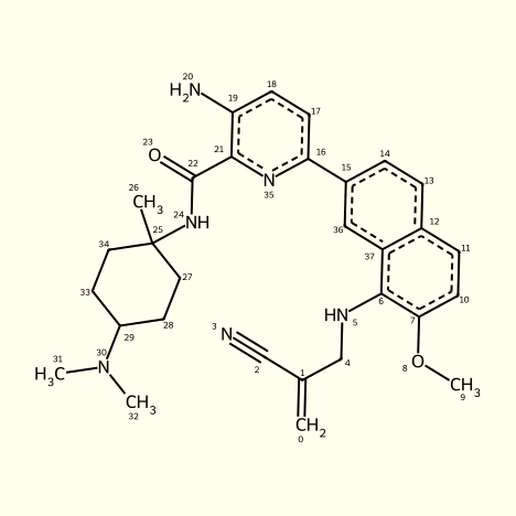 C=C(C#N)CNc1c(OC)ccc2ccc(-c3ccc(N)c(C(=O)NC4(C)CCC(N(C)C)CC4)n3)cc12